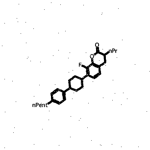 CCCCCc1ccc(C2CCC(c3ccc4c(c3F)OC(=O)C(CCC)C4)CC2)cc1